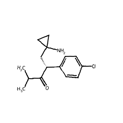 CC(C)C(=O)[C@H](CC1(N)CC1)c1ccc(Cl)cc1